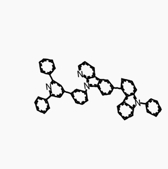 c1ccc(-c2cc(-c3cccc(-n4c5ccc(-c6cccc7c6c6ccccc6n7-c6ccccc6)cc5c5cccnc54)c3)cc(-c3ccccc3)n2)cc1